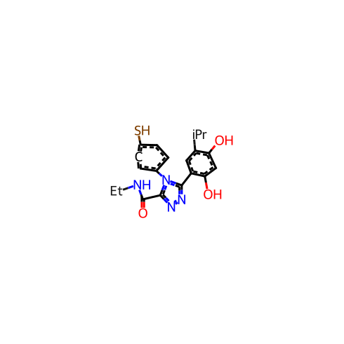 CCNC(=O)c1nnc(-c2cc(C(C)C)c(O)cc2O)n1-c1ccc(S)cc1